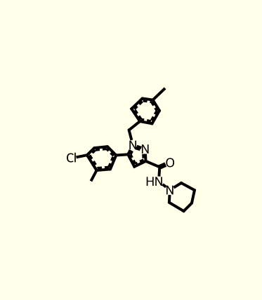 Cc1ccc(Cn2nc(C(=O)NN3CCCCC3)cc2-c2ccc(Cl)c(C)c2)cc1